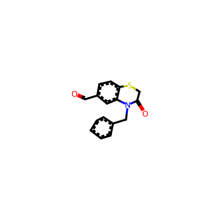 O=Cc1ccc2c(c1)N(Cc1ccccc1)C(=O)CS2